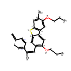 C=C/C=C\C(=C/C)C(=Cc1cc2sc3cc(C(C)(C)C)c(OCCC(C)C)cc3c2cc1OCCC(C)C)CC